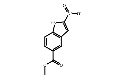 COC(=O)c1ccc2[nH]c([N+](=O)[O-])cc2c1